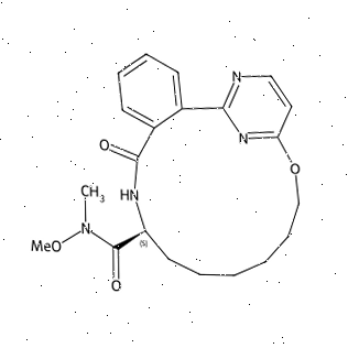 CON(C)C(=O)[C@@H]1CCCCCCOc2ccnc(n2)-c2ccccc2C(=O)N1